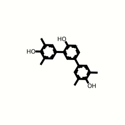 Cc1cc(-c2c[c]c(O)c(-c3cc(C)c(O)c(C)c3)c2)cc(C)c1O